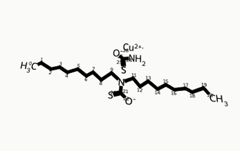 CCCCCCCCCCN(CCCCCCCCCC)C([O-])=S.NC([O-])=S.[Cu+2]